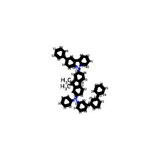 CC1(C)c2cc(N(c3ccccc3)c3cccc(-c4cccc(-c5ccccc5)c4)c3)ccc2-c2ccc(-n3c4ccccc4c4cc(-c5ccccc5)ccc43)cc21